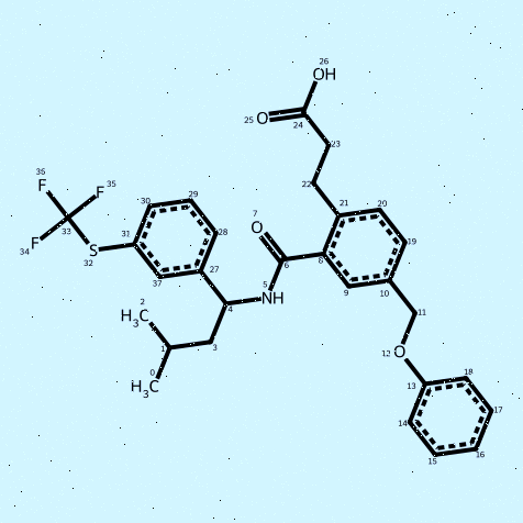 CC(C)CC(NC(=O)c1cc(COc2ccccc2)ccc1CCC(=O)O)c1cccc(SC(F)(F)F)c1